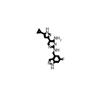 Nc1nc(NCc2cc(F)cc3[nH]ncc23)ncc1-c1cc(C2CC2)[nH]n1